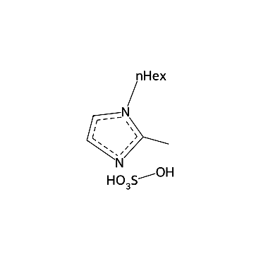 CCCCCCn1ccnc1C.O=S(=O)(O)O